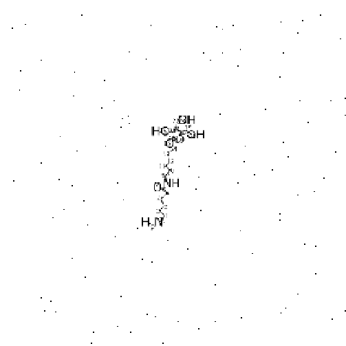 NCCCCCC(=O)NCCCCCCO[C@H]1O[C@H](CO)C(CO)C1O